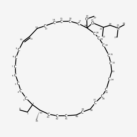 CCC1CCCCCCC/C=C/CCCCCCC(OC)(OC(C)CN(C)C)CCCCCCCCCCCCCCCC[C@@H]1C